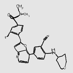 CN(C)C(=O)c1ccc(-c2cc3nccc(-c4ccc(NC5CCOCC5)c(C#N)c4)c3o2)c(F)c1